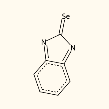 [Se]=C1N=c2ccccc2=N1